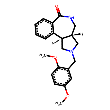 COc1ccc(OC)c(CN2C[C@H]3CNC(=O)c4ccccc4[C@@H]3C2)c1